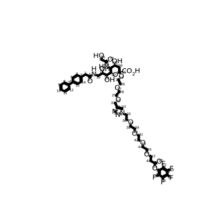 O=C(Cc1ccc(-c2ccccc2)cc1)NC[C@H](O)[C@H](O)[C@H]1O[C@@](OCCOCCOCc2cn(CCOCCOCCOCCOCCC(=O)Oc3c(F)c(F)c(F)c(F)c3F)nn2)(C(=O)O)C[C@@H](O)[C@@H]1NC(=O)CO